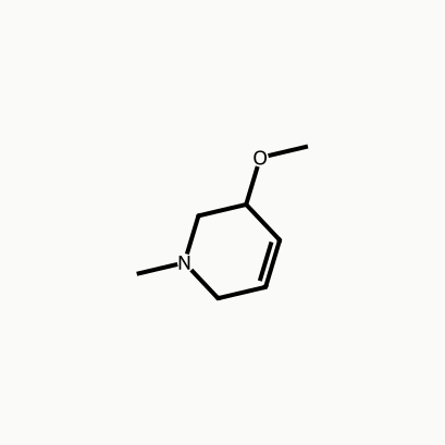 COC1C=CCN(C)C1